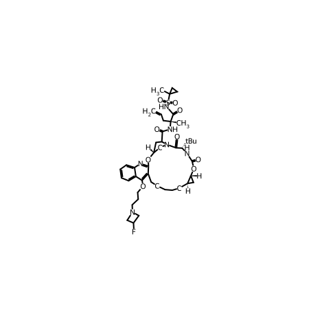 C=CC[C@@](C)(NC(=O)C1C[C@@H]2CN1C(=O)[C@H](C(C)(C)C)NC(=O)O[C@@H]1C[C@H]1CCCCCc1c(nc3ccccc3c1OCCCN1CC(F)C1)O2)C(=O)NS(=O)(=O)C1(C)CC1